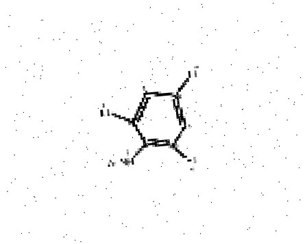 CCc1cc(CC)c(NC(C)=O)c(CC)c1